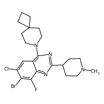 CN1CCC(c2nc(N3CCC4(CCC4)CC3)c3cc(Cl)c(Br)c(F)c3n2)CC1